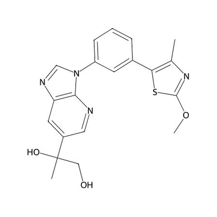 COc1nc(C)c(-c2cccc(-n3cnc4cc(C(C)(O)CO)cnc43)c2)s1